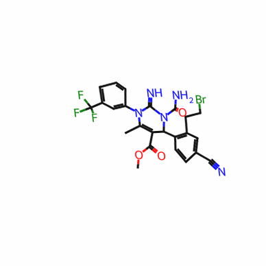 COC(=O)C1=C(C)N(c2cccc(C(F)(F)F)c2)C(=N)N(C(N)=O)C1c1ccc(C#N)cc1CCBr